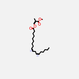 CCCCC/C=C\C/C=C\CCCCCCCC(=O)OC=C(C)C(=O)OC